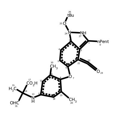 CCCCCC1=c2c(ccc(Oc3c(C)cc(NC(C)(C=O)C(=O)O)cc3C)c2=C=O)N(OC(C)(C)C)N1